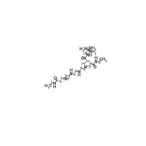 CCNC(=O)CCNCCNCCNCCN(CCC(=O)NCC)CCC(=O)NCC(N)(N)N